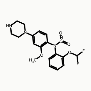 COc1cc(N2CCNCC2)ccc1N(c1ccccc1OC(F)F)[SH](=O)=O